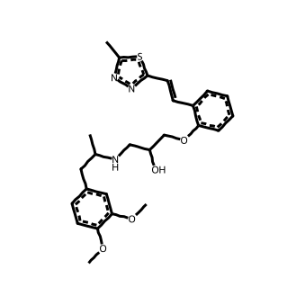 COc1ccc(CC(C)NCC(O)COc2ccccc2C=Cc2nnc(C)s2)cc1OC